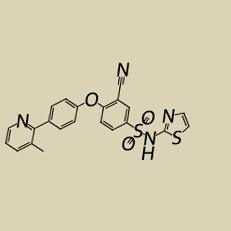 Cc1cccnc1-c1ccc(Oc2ccc(S(=O)(=O)Nc3nccs3)cc2C#N)cc1